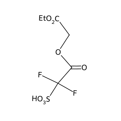 CCOC(=O)COC(=O)C(F)(F)S(=O)(=O)O